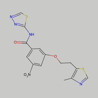 Cc1ncsc1CCOc1cc(C(=O)Nc2nncs2)cc([N+](=O)[O-])c1